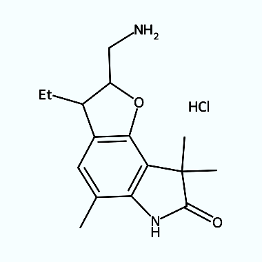 CCC1c2cc(C)c3c(c2OC1CN)C(C)(C)C(=O)N3.Cl